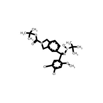 COc1cc(Cl)c(Cl)cc1/C(=N/[S+]([O-])C(C)(C)C)c1ccc2c(c1)CN(C(=O)OC(C)(C)C)C2